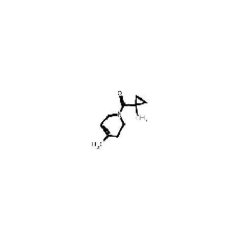 CC1=CCN(C(=O)C2(C)CC2)CC1